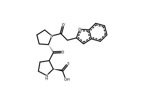 O=C(C1CCN[C@@H]1C(O)=S)[C@@H]1CCCN1C(=O)Cc1cc2ccccc2o1